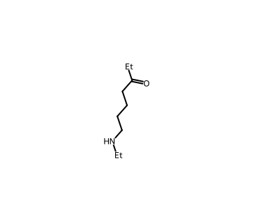 CCNCCCCC(=O)CC